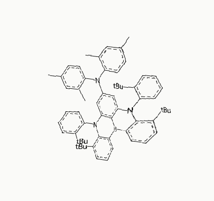 Cc1ccc(N(c2cc3c4c(c2)N(c2ccccc2C(C)(C)C)c2c(cccc2C(C)(C)C)B4c2cccc(C(C)(C)C)c2N3c2ccccc2C(C)(C)C)c2ccc(C)cc2C)c(C)c1